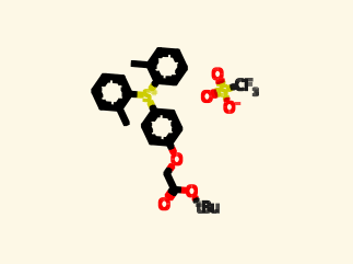 Cc1ccccc1[S+](c1ccc(OCC(=O)OC(C)(C)C)cc1)c1ccccc1C.O=S(=O)([O-])C(F)(F)F